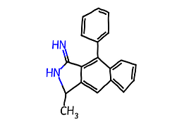 CC1NC(=N)c2c1cc1ccccc1c2-c1ccccc1